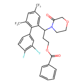 O=C(OCCC(c1cc(C(F)(F)F)cc(C(F)(F)F)c1-c1ccc(F)c(F)c1)N1CCOCC1=O)c1ccccc1